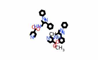 COC(=O)c1ccnc(C)c1NCc1cn(-c2ccccc2)nc1-c1ccccc1.O=C(ONCc1cn(-c2ccccc2)nc1-c1ccccc1)c1ccncc1